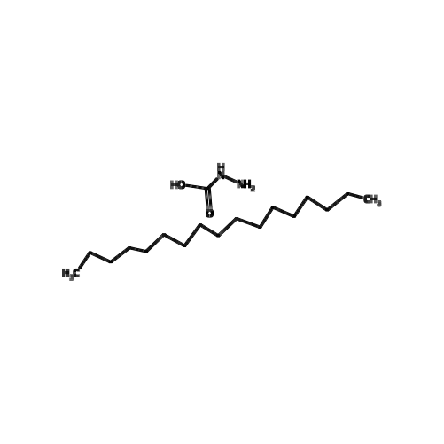 CCCCCCCCCCCCCCCCC.NNC(=O)O